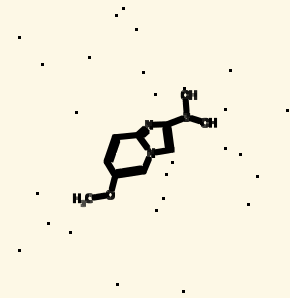 COc1ccc2nc(B(O)O)cn2c1